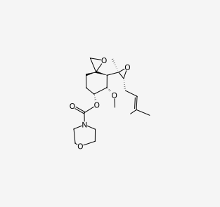 CO[C@@H]1[C@H](OC(=O)N2CCOCC2)CC[C@]2(CO2)[C@H]1[C@@]1(C)O[C@@H]1CC=C(C)C